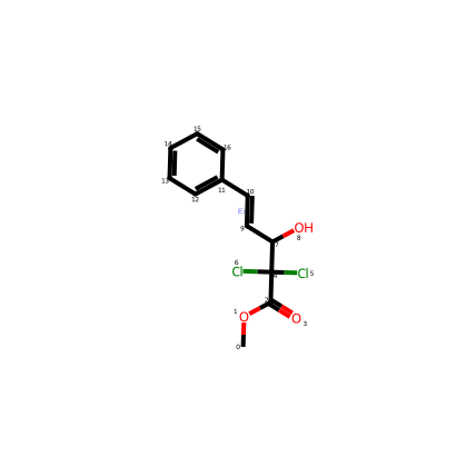 COC(=O)C(Cl)(Cl)C(O)/C=C/c1ccccc1